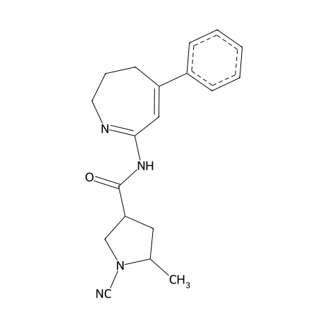 CC1CC(C(=O)NC2=NCCCC(c3ccccc3)=C2)CN1C#N